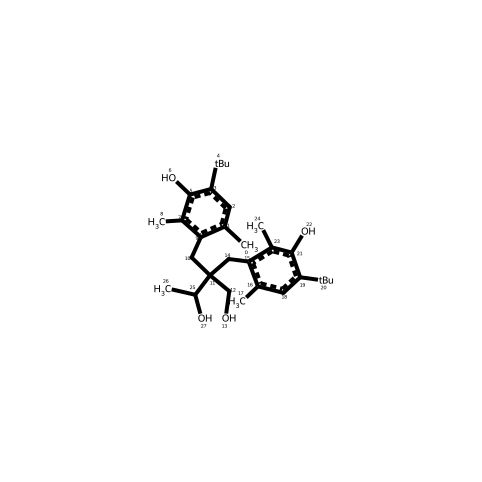 Cc1cc(C(C)(C)C)c(O)c(C)c1CC(CO)(Cc1c(C)cc(C(C)(C)C)c(O)c1C)C(C)O